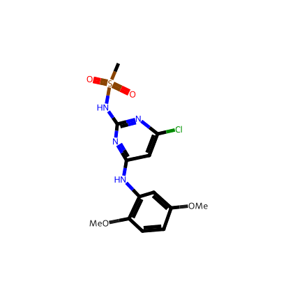 COc1ccc(OC)c(Nc2cc(Cl)nc(NS(C)(=O)=O)n2)c1